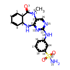 CN1C(=O)C2C=CC=CC2Nc2nc(Nc3cccc(S(N)(=O)=O)c3)ncc21